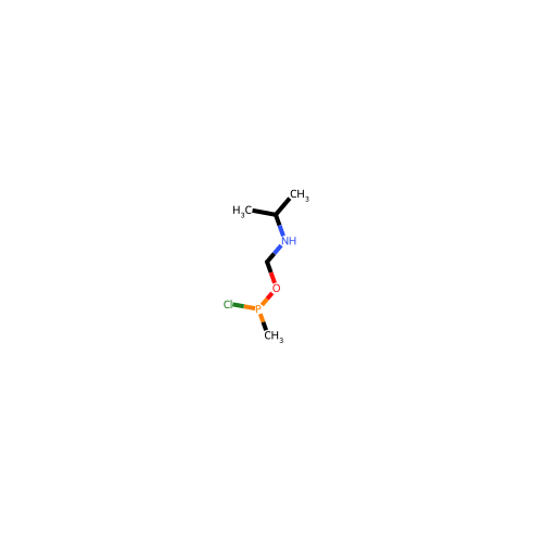 CC(C)NCOP(C)Cl